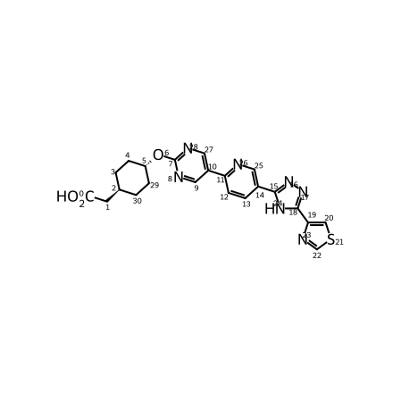 O=C(O)C[C@H]1CC[C@H](Oc2ncc(-c3ccc(-c4nnc(-c5cscn5)[nH]4)cn3)cn2)CC1